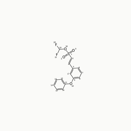 O=S(=O)(C=Cc1cccc(Oc2ccccc2)c1)OC(F)F